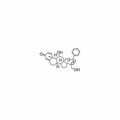 C[C@]12C=CC(=O)C=C1CC[C@@H]1[C@@H]2C(O)C[C@@]2(C)[C@H]1CC[C@]2(OC(=O)c1ccccc1)C(=O)CO